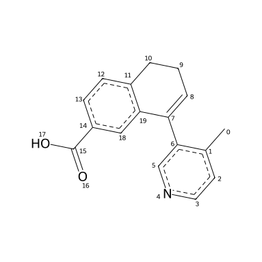 Cc1ccncc1C1=CCCc2ccc(C(=O)O)cc21